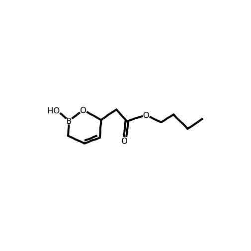 CCCCOC(=O)CC1C=CCB(O)O1